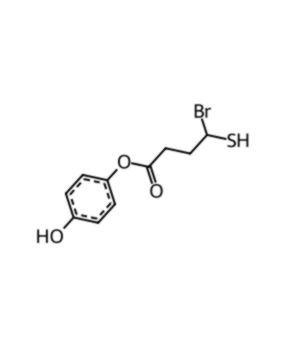 O=C(CCC(S)Br)Oc1ccc(O)cc1